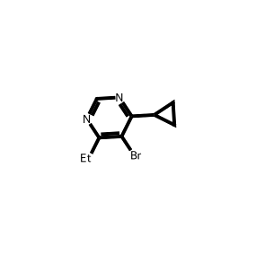 CCc1ncnc(C2CC2)c1Br